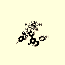 CC(C)(C)C(=O)O.COc1ncc(-c2cc(F)c3nccc(N4CCNCC4)c3c2)cc1NS(=O)(=O)c1ccc(F)cc1F